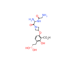 NCC(=O)N[C@H](N)C(=O)N1CC(Oc2ccc(CCB(O)O)c(O)c2C(=O)O)C1